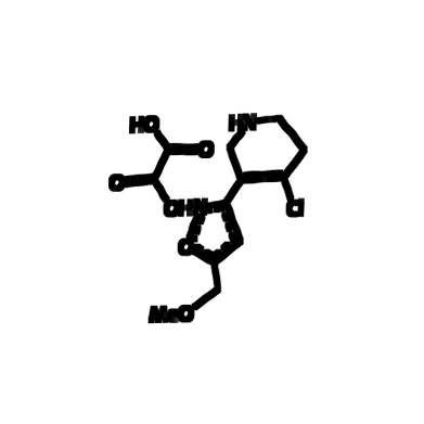 COCc1cc(C2=C(Cl)CCNC2)no1.O=C(O)C(=O)O